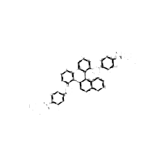 O=[N+]([O-])c1ccc(Oc2ccccc2-c2ccc3ccccc3c2-c2ccccc2Oc2ccc([N+](=O)[O-])cc2)cc1